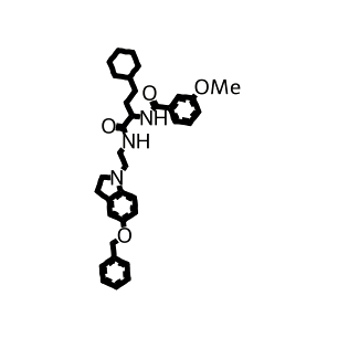 COc1cccc(C(=O)NC(CCC2CCCCC2)C(=O)NCCN2CCc3cc(OCc4ccccc4)ccc32)c1